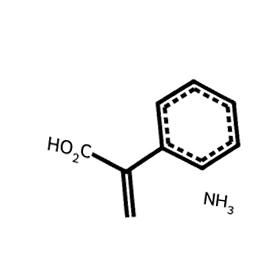 C=C(C(=O)O)c1ccccc1.N